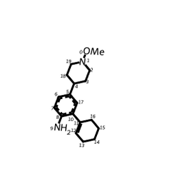 CON1CCC(c2ccc(N)c(C3=CCCCC3)c2)CC1